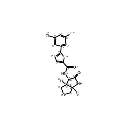 O=C(N[C@H]1C(=O)N[C@@H]2COC[C@@H]21)c1cnc(-c2cc(F)cc(Cl)c2)s1